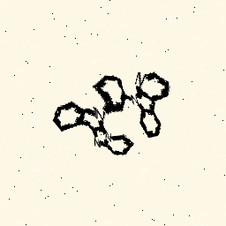 c1cc(-n2c3ccccc3c3cccnc32)cc(-n2c3ccccc3c3nc4ccccn4c32)c1